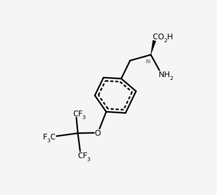 N[C@@H](Cc1ccc(OC(C(F)(F)F)(C(F)(F)F)C(F)(F)F)cc1)C(=O)O